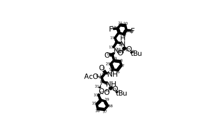 CC(=O)O[C@H](C(=O)Nc1cccc(C(=O)NCC(Cc2cc(F)ccc2F)NC(=O)OC(C)(C)C)c1)[C@@H](COCc1ccccc1)NC(=O)OC(C)(C)C